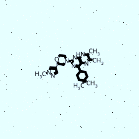 CC1=Nc2c(nc(N3CCO[C@@H](c4cnn(C)c4)C3)nc2C2CCC(C)(C)CC2)NC1C